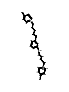 Cc1cc[n+](CCCCCc2cccc(CCCCC[n+]3ccc(C)cc3)c2)cc1